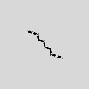 O=C=NCSSCN=C=O